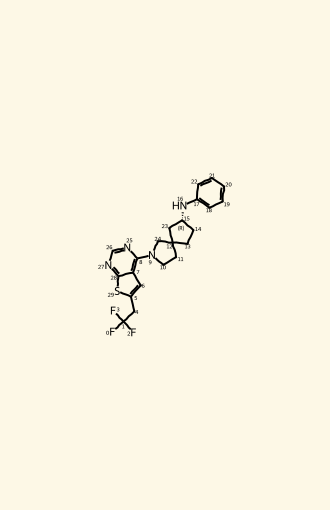 FC(F)(F)Cc1cc2c(N3CCC4(CC[C@@H](Nc5ccccc5)C4)C3)ncnc2s1